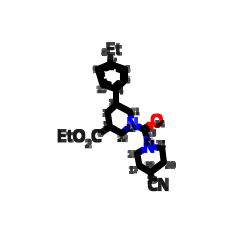 CCOC(=O)C1CC(c2ccc(CC)cc2)CN(C(=O)N2CCC(C#N)CC2)C1